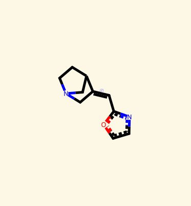 C(=C1/CN2CCC1C2)/c1ncco1